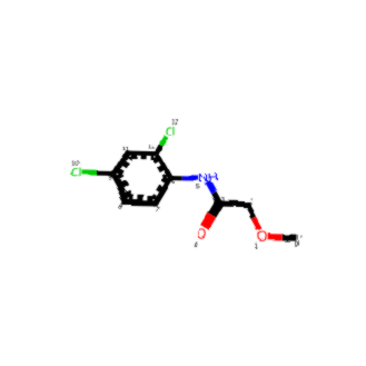 [CH2]OCC(=O)Nc1ccc(Cl)cc1Cl